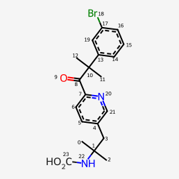 CC(C)(Cc1ccc(C(=O)C(C)(C)c2cccc(Br)c2)nc1)NC(=O)O